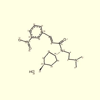 CN(C)CCN(C(=O)C=Cc1cccc([N+](=O)[O-])c1)[C@H]1CC[C@H](C)CC1.Cl